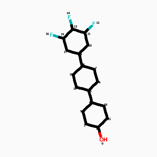 OC1CCC(C2CCC(C3CC(F)C(F)C(F)C3)CC2)CC1